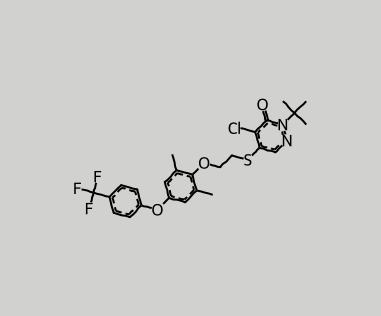 Cc1cc(Oc2ccc(C(F)(F)F)cc2)cc(C)c1OCCSc1cnn(C(C)(C)C)c(=O)c1Cl